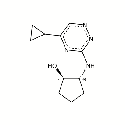 O[C@@H]1CCC[C@H]1Nc1nncc(C2CC2)n1